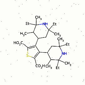 CCC1(C)CC(c2c(C(=O)O)sc(C(=O)O)c2C2CC(C)(CC)NC(C)(CC)C2C)C(C)C(C)(CC)N1